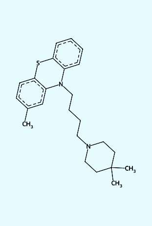 Cc1ccc2c(c1)N(CCCCN1CCC(C)(C)CC1)c1ccccc1S2